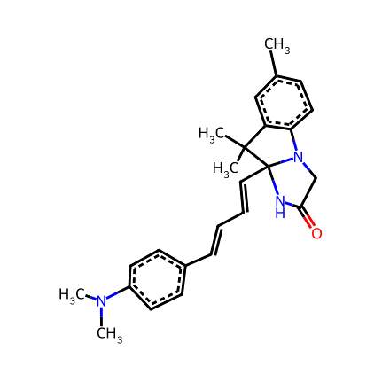 Cc1ccc2c(c1)C(C)(C)C1(/C=C/C=C/c3ccc(N(C)C)cc3)NC(=O)CN21